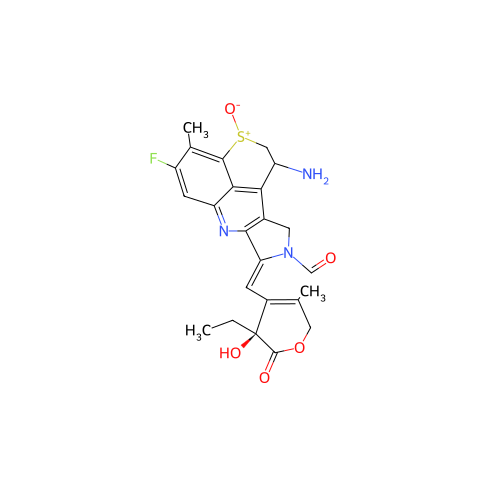 CC[C@@]1(O)C(=O)OCC(C)=C1/C=C1/c2nc3cc(F)c(C)c4c3c(c2CN1C=O)C(N)C[S+]4[O-]